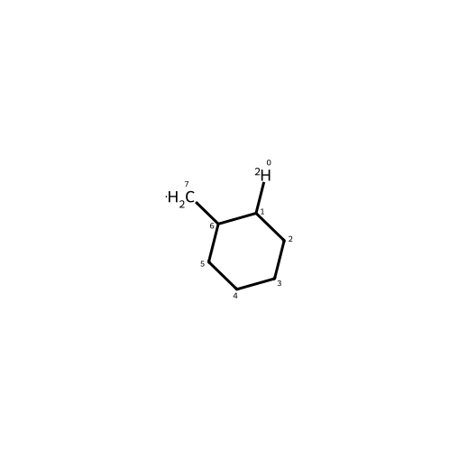 [2H]C1CCCCC1[CH2]